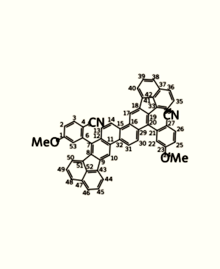 COc1ccc(C#N)c(-c2c3c(cc4c2ccc2c5cc6c(c(-c7cc(OC)ccc7C#N)c5ccc42)-c2cccc4cccc-6c24)-c2cccc4cccc-3c24)c1